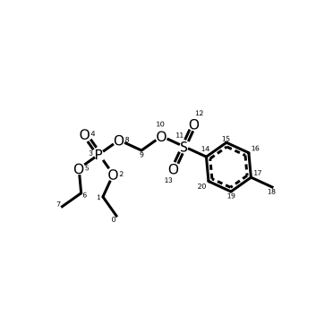 CCOP(=O)(OCC)OCOS(=O)(=O)c1ccc(C)cc1